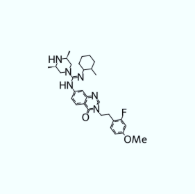 COc1ccc(CCn2cnc3cc(NC(=NC4CCCCC4C)N4C[C@@H](C)N[C@@H](C)C4)ccc3c2=O)c(F)c1